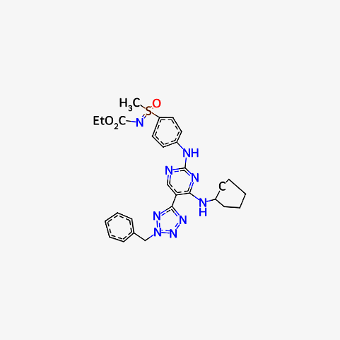 CCOC(=O)N=S(C)(=O)c1ccc(Nc2ncc(-c3nnn(Cc4ccccc4)n3)c(NC3CCCCC3)n2)cc1